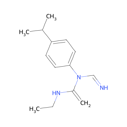 C=C(NCC)N(C=N)c1ccc(C(C)C)cc1